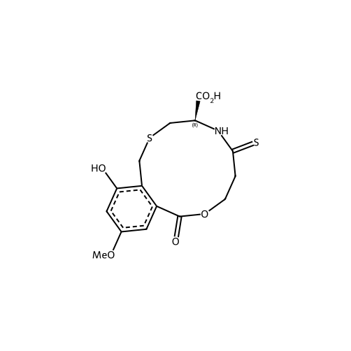 COc1cc(O)c2c(c1)C(=O)OCCC(=S)N[C@H](C(=O)O)CSC2